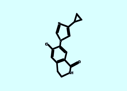 O=C1NCCc2cc(Cl)c(-n3cnc(C4CC4)c3)cc21